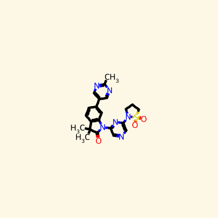 Cc1ncc(-c2ccc3c(c2)N(c2cncc(N4CCCS4(=O)=O)n2)C(=O)C3(C)C)cn1